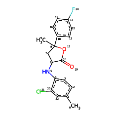 Cc1ccc(NC2CC(C)(c3ccc(F)cc3)OC2=O)c(Cl)c1